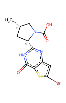 C[C@H]1C[C@@H](c2nc3cc(Br)sc3c(=O)[nH]2)N(C(=O)O)C1